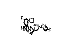 Fc1ccc(N2CCN(c3n[nH]c4cc(F)cc(Cl)c34)C3(CC3)C2)nc1